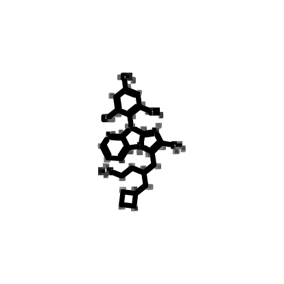 Cc1cc(C)c(-n2c3ncccc3n3c(CC(CCN)CC4CCC4)c(C)nc23)c(Cl)c1